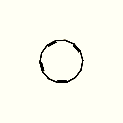 [CH]1C=CCC=CCC=CCCCC=C1